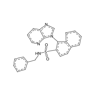 O=S(=O)(NCc1ccccc1)c1ccc2ccccc2c1-n1cnc2cccnc21